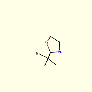 CCC(C)(C)C1NCCO1